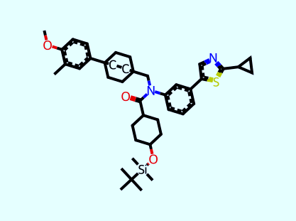 COc1ccc(C23CCC(CN(C(=O)C4CCC(O[Si](C)(C)C(C)(C)C)CC4)c4cccc(-c5cnc(C6CC6)s5)c4)(CC2)CC3)cc1C